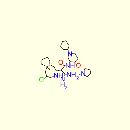 CN1CCC[C@H]1COC1CCN(C2CCCCC2)CC1NC(=O)C(C(N)N)C1CC23CCCC[C@]2(CC(Cl)CN1)C3